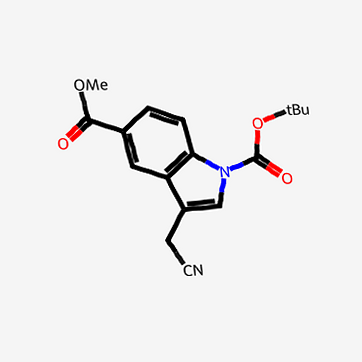 COC(=O)c1ccc2c(c1)c(CC#N)cn2C(=O)OC(C)(C)C